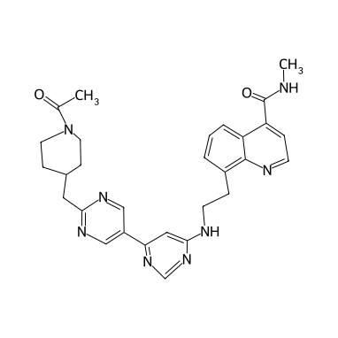 CNC(=O)c1ccnc2c(CCNc3cc(-c4cnc(CC5CCN(C(C)=O)CC5)nc4)ncn3)cccc12